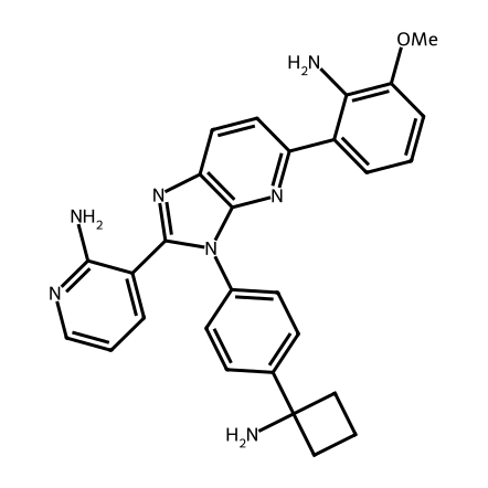 COc1cccc(-c2ccc3nc(-c4cccnc4N)n(-c4ccc(C5(N)CCC5)cc4)c3n2)c1N